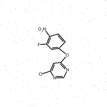 O=[N+]([O-])c1ccc(Oc2cc(Cl)ncn2)cc1F